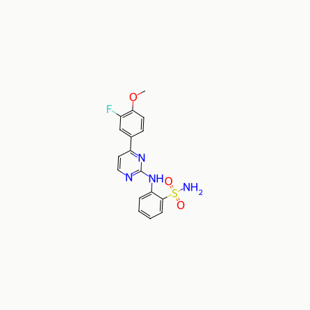 COc1ccc(-c2ccnc(Nc3ccccc3S(N)(=O)=O)n2)cc1F